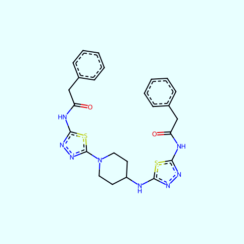 O=C(Cc1ccccc1)Nc1nnc(NC2CCN(c3nnc(NC(=O)Cc4ccccc4)s3)CC2)s1